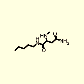 CCCCCNC(=O)C(CC(N)=O)NC